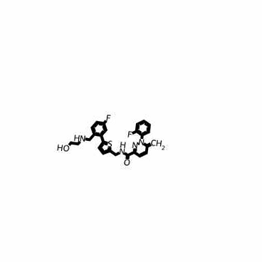 C=C1C=CC(C(=O)NCc2ccc(-c3cc(F)ccc3CNCCO)s2)=NN1c1ccccc1F